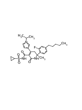 CCCCCc1ccc(C2(C)CC(c3ccn(C(C)C)c3)=C(C(=O)NS(=O)(=O)C3CC3)C(=O)N2)c(F)c1